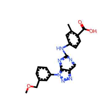 COCc1cccc(-n2nnc3cnc(Nc4ccc(C(=O)O)c(C)c4)nc32)c1